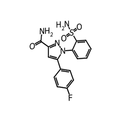 NC(=O)c1cc(-c2ccc(F)cc2)n(-c2ccccc2S(N)(=O)=O)n1